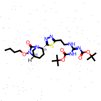 CCCCON1C(=O)N2C[C@@H]1CC[C@H]2c1nnc(CCN/C(=N/C(=O)OC(C)(C)C)NC(=O)OC(C)(C)C)s1